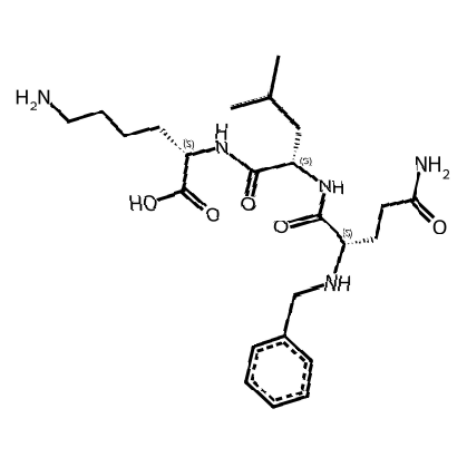 CC(C)C[C@H](NC(=O)[C@H](CCC(N)=O)NCc1ccccc1)C(=O)N[C@@H](CCCCN)C(=O)O